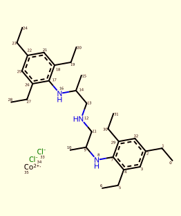 CCc1cc(CC)c(NC(C)CNCC(C)Nc2c(CC)cc(CC)cc2CC)c(CC)c1.[Cl-].[Cl-].[Co+2]